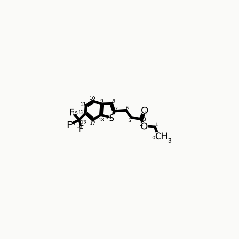 CCOC(=O)CCc1cc2ccc(C(F)(F)F)cc2s1